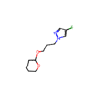 Fc1cnn(CCCOC2CCCCO2)c1